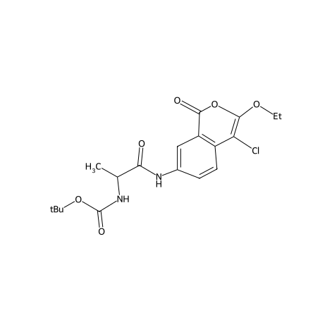 CCOc1oc(=O)c2cc(NC(=O)C(C)NC(=O)OC(C)(C)C)ccc2c1Cl